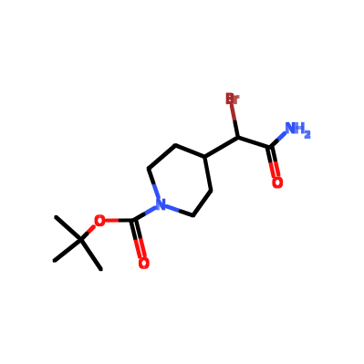 CC(C)(C)OC(=O)N1CCC(C(Br)C(N)=O)CC1